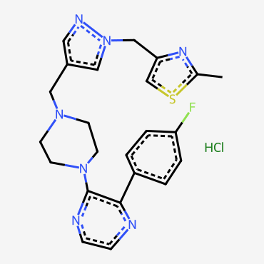 Cc1nc(Cn2cc(CN3CCN(c4nccnc4-c4ccc(F)cc4)CC3)cn2)cs1.Cl